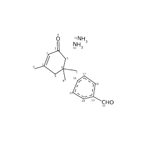 CC1=CC(=O)CC(C)(C)C1.N.N.O=Cc1ccccc1